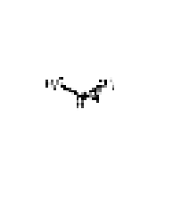 CCCNN1C[C@H]1C